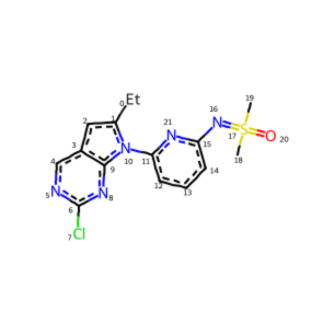 CCc1cc2cnc(Cl)nc2n1-c1cccc(N=S(C)(C)=O)n1